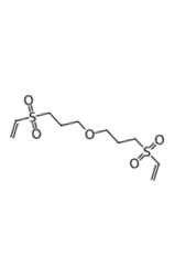 C=CS(=O)(=O)CCCOCCCS(=O)(=O)C=C